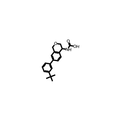 CC(C)(C)c1cccc(-c2ccc3c(c2)COCC3NC(=O)O)c1